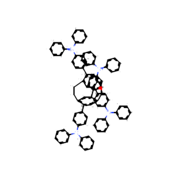 c1ccc(N(c2ccccc2)c2ccc(-c3cc4c(-c5ccc(N(c6ccccc6)c6ccccc6)cc5)cc3CCc3cc(-c5ccc(N(c6ccccc6)c6ccccc6)cc5)c(cc3-c3ccc(N(c5ccccc5)c5ccccc5)cc3)CC4)cc2)cc1